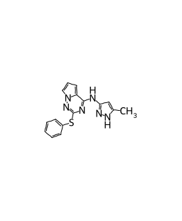 Cc1cc(Nc2nc(Sc3ccccc3)nn3cccc23)n[nH]1